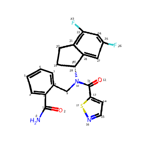 NC(=O)c1ccccc1CN(C(=O)c1ccns1)[C@@H]1CCc2c(F)cc(F)cc21